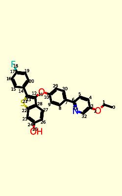 CCOc1ccc(-c2ccc(Oc3c(-c4ccc(F)cc4)sc4cc(O)ccc34)cc2)nc1